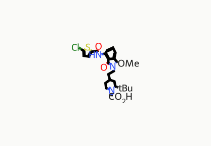 COC1c2cccc(NC(=O)c3ccc(Cl)s3)c2C(=O)N1CCC1CCN(C(=O)O)C(C(C)(C)C)C1